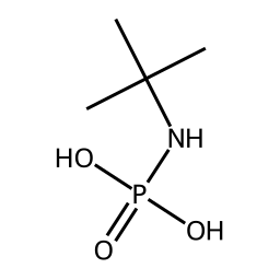 CC(C)(C)NP(=O)(O)O